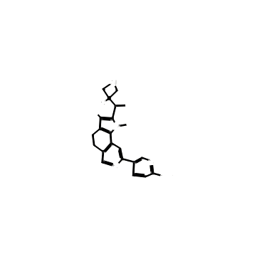 COc1ccc(-c2cc3c(cn2)CCc2c(C(=O)O)c(C(C)C4(N)CNC4)n(C)c2-3)cn1